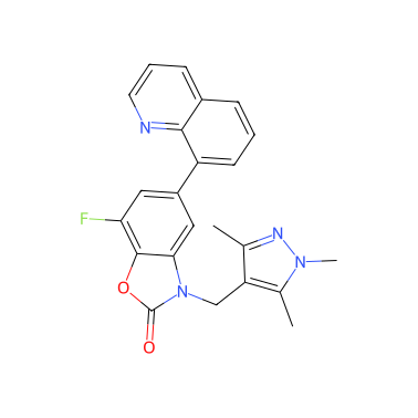 Cc1nn(C)c(C)c1Cn1c(=O)oc2c(F)cc(-c3cccc4cccnc34)cc21